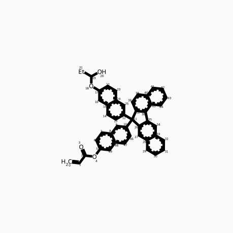 C=CC(=O)Oc1ccc2cc(C3(c4ccc5cc(OC(O)CC)ccc5c4)c4cc5ccccc5cc4-c4c3ccc3ccccc43)ccc2c1